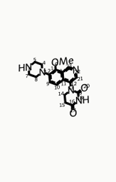 COc1c(N2CCNCC2)ccc2c(N3CCC(=O)NC3=O)cncc12